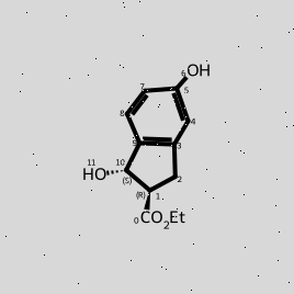 CCOC(=O)[C@@H]1Cc2cc(O)ccc2[C@H]1O